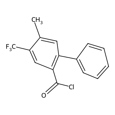 Cc1cc(-c2ccccc2)c(C(=O)Cl)cc1C(F)(F)F